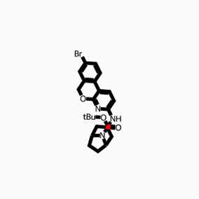 CC(C)(C)OC(=O)N1C2CCC1CC(Nc1ccc3c(n1)OCc1cc(Br)ccc1-3)C2